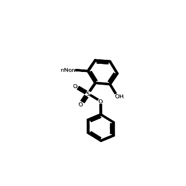 CCCCCCCCCc1cccc(O)c1S(=O)(=O)Oc1ccccc1